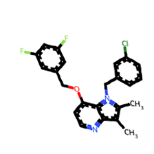 Cc1c(C)n(Cc2cccc(Cl)c2)c2c(OCc3cc(F)cc(F)c3)ccnc12